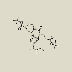 CCC(C)[C@H](C)c1cn([C@@H](CCC(=O)OC(C)(C)C)C(=O)N2CCN(C(=O)OC(C)(C)C)CC2)nn1